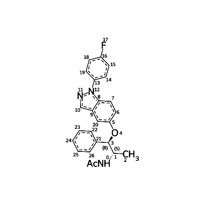 [CH2]C(=O)N[C@@H](C)[C@H](Oc1ccc2c(cnn2-c2ccc(F)cc2)c1)c1ccccc1